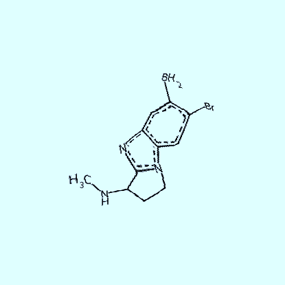 Bc1cc2nc3n(c2cc1Br)CCC3NC